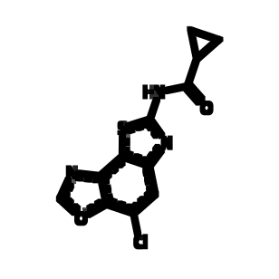 O=C(Nc1nc2cc(Cl)c3ocnc3c2s1)C1CC1